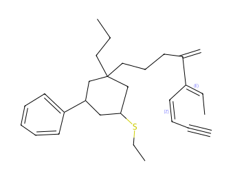 C#C/C=C\C(=C/C)C(=C)CCCC1(CCC)CC(SCC)CC(c2ccccc2)C1